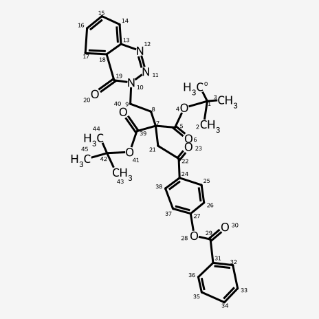 CC(C)(C)OC(=O)C(CCn1nnc2ccccc2c1=O)(CC(=O)c1ccc(OC(=O)c2ccccc2)cc1)C(=O)OC(C)(C)C